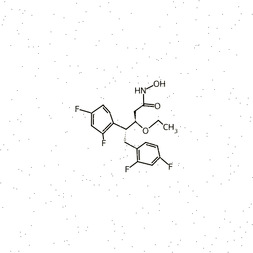 CCO[C@H](CC(=O)NO)[C@H](Cc1ccc(F)cc1F)c1ccc(F)cc1F